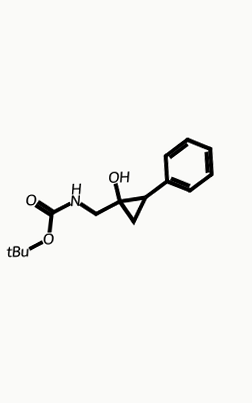 CC(C)(C)OC(=O)NCC1(O)CC1c1ccccc1